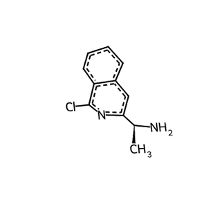 C[C@H](N)c1cc2ccccc2c(Cl)n1